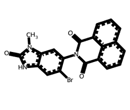 Cn1c(=O)[nH]c2cc(Br)c(N3C(=O)c4cccc5cccc(c45)C3=O)cc21